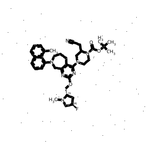 Cc1cccc2cccc(N3CCCc4c(nc(OC[C@@H]5C[C@@H](F)CN5C)nc4N4CCN(C(=O)OC(C)(C)C)C(CC#N)C4)C3)c12